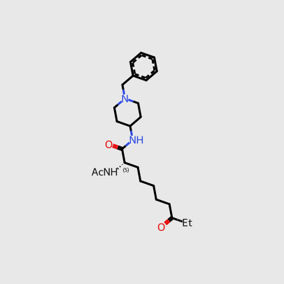 CCC(=O)CCCCC[C@H](NC(C)=O)C(=O)NC1CCN(Cc2ccccc2)CC1